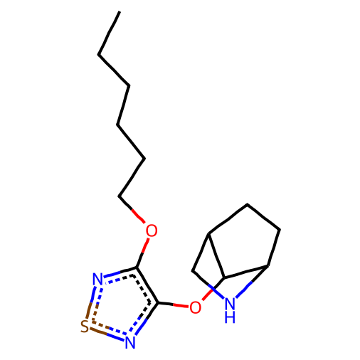 CCCCCCOc1nsnc1OC1C2CCC1NC2